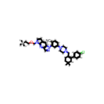 CC1(C)CCC(CN2CCN(c3ccc(C#N)c(-n4ncc5nc6c(ccn6COCC[Si](C)(C)C)cc54)c3)CC2)=C(c2ccc(Cl)cc2)C1